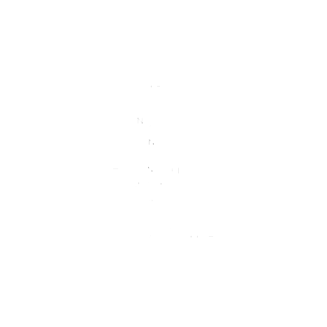 CC1CN(c2ccc(C(F)(F)F)cn2)CC(C)N1S(=O)(=O)c1ccc2scc(CC(=O)O)c2c1